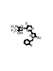 CC(=O)c1cc(-c2ncc(F)c(NCC(O)(C(N)=O)C(F)(F)F)n2)nn1Cc1ccccc1F